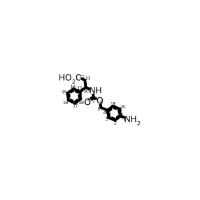 Nc1ccc(COC(=O)NC(CC(=O)O)c2ccccc2)cc1